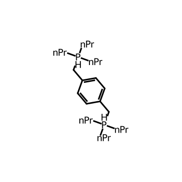 CCC[PH](CCC)(CCC)Cc1ccc(C[PH](CCC)(CCC)CCC)cc1